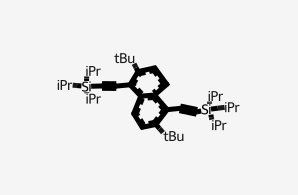 CC(C)[Si](C#Cc1c(C(C)(C)C)ccc2c(C#C[Si](C(C)C)(C(C)C)C(C)C)c(C(C)(C)C)ccc12)(C(C)C)C(C)C